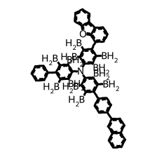 Bc1c(B)c(N(c2c(B)c(B)c(-c3ccc(-c4ccc5ccccc5c4)cc3)c(B)c2B)c2c(B)c(B)c(-c3cccc4c3oc3ccccc34)c(B)c2B)c(B)c(B)c1-c1ccccc1